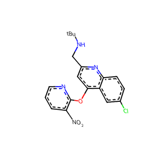 CC(C)(C)NCc1cc(Oc2ncccc2[N+](=O)[O-])c2cc(Cl)ccc2n1